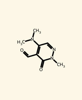 CN(C)c1cnn(C)c(=O)c1C=O